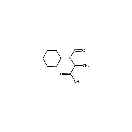 CC(C(=O)O)N(C=O)C1CCCCC1